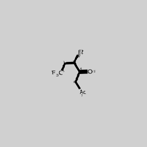 CCC(CC(F)(F)F)C(=O)CC(C)=O